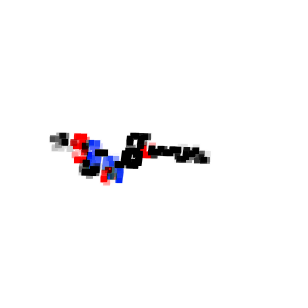 CC(=O)OCCCCOc1ccc(-c2noc([C@@H]3CCCN3/C(C)=N\C(=O)OC(C)(C)C)n2)cc1C(F)(F)F